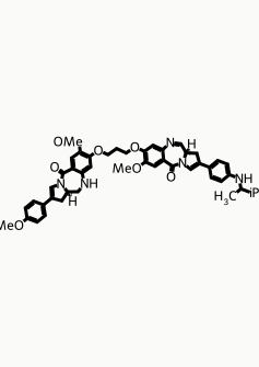 COc1ccc(C2=CN3C(=O)c4cc(OC)c(OCCCOc5cc6c(cc5OC)C(=O)N5C=C(c7ccc(NC(C)C(C)C)cc7)C[C@H]5C=N6)cc4NC[C@@H]3C2)cc1